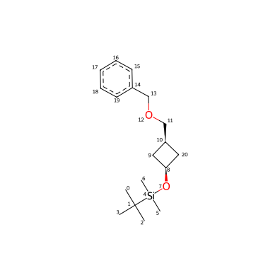 CC(C)(C)[Si](C)(C)O[C@H]1C[C@@H](COCc2ccccc2)C1